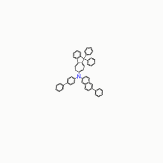 C1=C2C(=CC=C(N(c3ccc(-c4ccccc4)cc3)c3ccc4cc(-c5ccccc5)ccc4c3)C1)C(c1ccccc1)(c1ccccc1)c1ccccc12